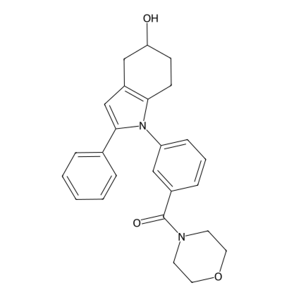 O=C(c1cccc(-n2c(-c3ccccc3)cc3c2CCC(O)C3)c1)N1CCOCC1